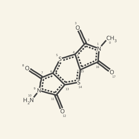 Cn1c(=O)c2sc3c(=O)n(N)c(=O)c3sc2c1=O